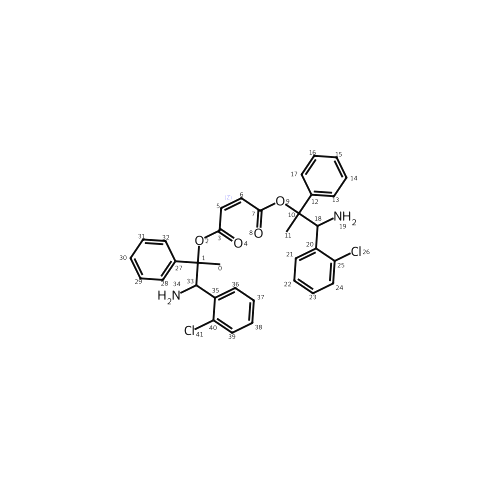 CC(OC(=O)/C=C\C(=O)OC(C)(c1ccccc1)C(N)c1ccccc1Cl)(c1ccccc1)C(N)c1ccccc1Cl